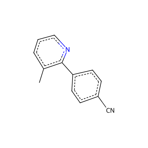 Cc1cccnc1-c1ccc(C#N)cc1